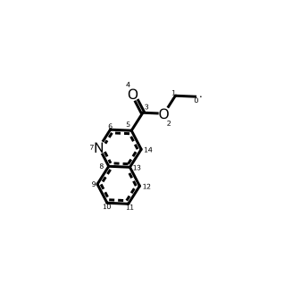 [CH2]COC(=O)c1cnc2ccccc2c1